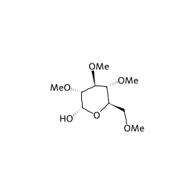 COC[C@H]1O[C@H](O)[C@H](OC)[C@@H](OC)[C@@H]1OC